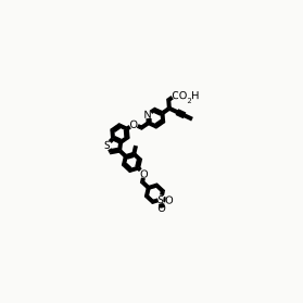 CC#CC(CC(=O)O)c1ccc(COc2ccc3scc(-c4ccc(OCC5CCS(=O)(=O)CC5)cc4C)c3c2)nc1